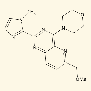 COCc1ccc2nc(-c3nccn3C)nc(N3CCOCC3)c2n1